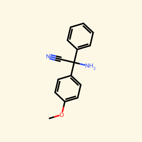 COc1ccc(C(N)(C#N)c2ccccc2)cc1